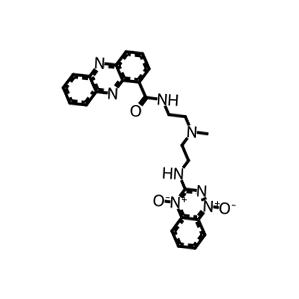 CN(CCNC(=O)c1cccc2nc3ccccc3nc12)CCNc1n[n+]([O-])c2ccccc2[n+]1[O-]